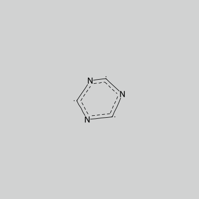 [c]1n[c]n[c]n1